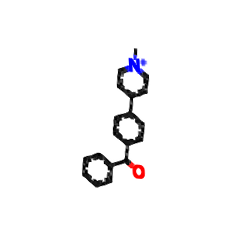 C[n+]1ccc(-c2ccc(C(=O)c3ccccc3)cc2)cc1